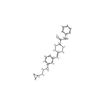 O=C(Nc1cccnc1)N1CCC(=Cc2cccc(OCCC3CC3)c2)CC1